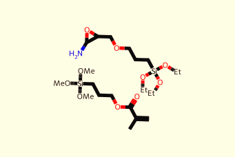 C=C(C)C(=O)OCCC[Si](OC)(OC)OC.CCO[Si](CCCOCC1OC1N)(OCC)OCC